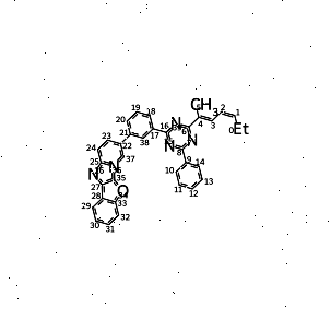 CC/C=C\C=C(/C)c1nc(-c2ccccc2)nc(-c2cccc(-c3ccc4nc5c6ccccc6oc5n4c3)c2)n1